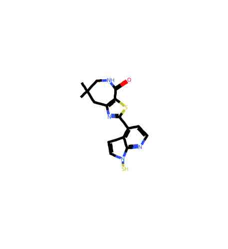 CC1(C)CNC(=O)c2sc(-c3ccnc4c3ccn4S)nc2C1